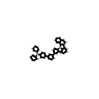 c1ccc(N(c2ccccc2)c2ccc(-c3cccc(-c4ccc5c(c4)c4cccc6c7ccc8ccccc8c7n5c46)c3)cc2)cc1